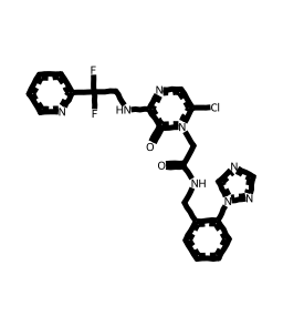 O=C(Cn1c(Cl)cnc(NCC(F)(F)c2ccccn2)c1=O)NCc1ccccc1-n1cncn1